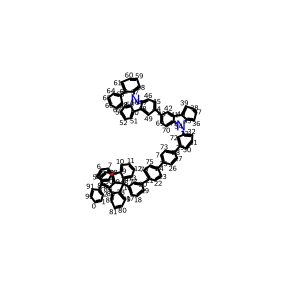 c1ccc(-c2cccc(-c3ccccc3C3(c4cccc(-c5ccc(-c6ccc(-c7cccc(-n8c9ccccc9c9cc(-c%10ccc%11c(c%10)c%10ccccc%10n%11-c%10ccccc%10-c%10ccccc%10)ccc98)c7)cc6)cc5)c4)c4ccccc4-c4ccccc43)c2)cc1